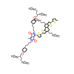 CCCCCCCCCCCCc1cc2c(cc(CCCCCCCCCCCC)c3cc(-c4ccc(C5=C6C(=O)N(CCCCc7ccc(OCC(CCCCCCCCCC)CCCCCCCCCCCC)cc7)C(C)=C6C(=O)N5CCCCc5ccc(OCC(CCCCCCCCCC)CCCCCCCCCCCC)cc5)s4)sc32)c2sc(-c3ccc(C)s3)cc12